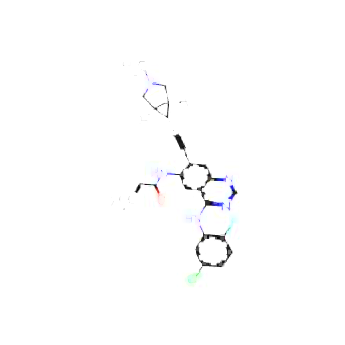 C=CC(=O)Nc1cc2c(Nc3cc(Cl)ccc3F)ncnc2cc1C#C[C@@H]1[C@H]2CN(C)C[C@@H]12